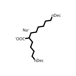 CCCCCCCCCCCCCCCCC(CCCCCCCCCCCCCC)C(=O)[O-].[Na+]